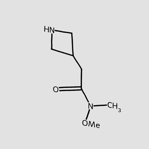 CON(C)C(=O)CC1CNC1